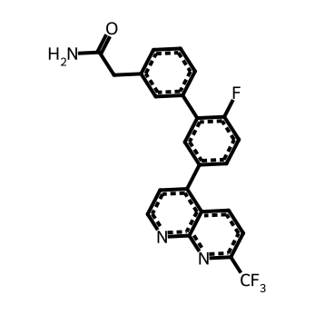 NC(=O)Cc1cccc(-c2cc(-c3ccnc4nc(C(F)(F)F)ccc34)ccc2F)c1